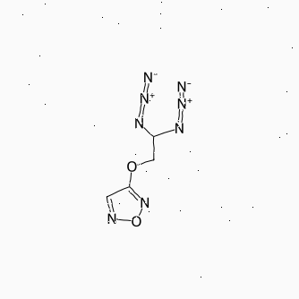 [N-]=[N+]=NC(COc1cnon1)N=[N+]=[N-]